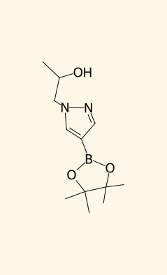 CC(O)Cn1cc(B2OC(C)(C)C(C)(C)O2)cn1